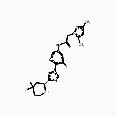 Cc1cc(C(F)(F)F)nn1CC(=O)Nc1cnc(-n2cnc([C@H]3CC(F)(F)CCN3)n2)c(F)c1